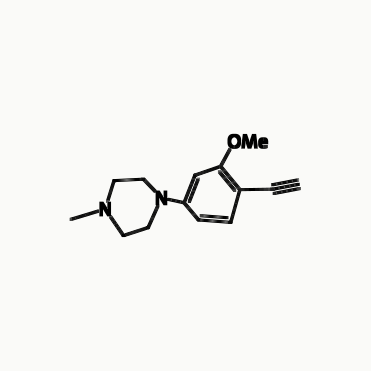 C#Cc1ccc(N2CCN(C)CC2)cc1OC